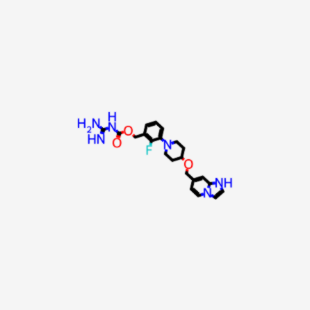 N=C(N)NC(=O)OCc1cccc(N2CCC(OCC3=CC4NC=CN4C=C3)CC2)c1F